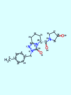 Cc1ccc(Cn2nc3n(c2=O)[C@@H](C(=O)N2CCC(=O)C2)CCC3)cc1